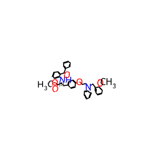 COC(=O)[C@H](Cc1ccc(OCCN(Cc2ccccc2OC)c2ccccc2)cc1)Nc1ccccc1C(=O)c1ccccc1